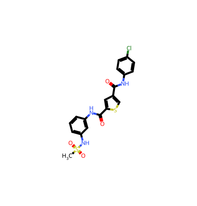 CS(=O)(=O)Nc1cccc(NC(=O)c2cc(C(=O)Nc3ccc(Cl)cc3)cs2)c1